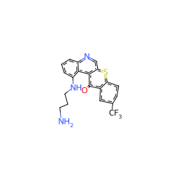 NCCCNc1cccc2ncc3sc4ccc(C(F)(F)F)cc4c(=O)c3c12